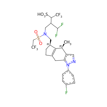 C[C@@H]1C2=C(CC[C@H]2CN(CC(C(F)F)C(C(F)(F)F)S(=O)(=O)O)S(=O)(=O)CC(F)(F)F)Cc2c1cnn2-c1ccc(F)cc1